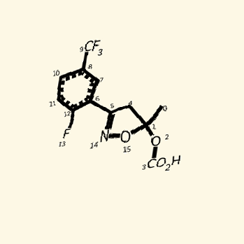 CC1(OC(=O)O)CC(c2cc(C(F)(F)F)ccc2F)=NO1